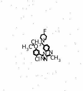 Cc1nc2ccc(CN3CCC(F)CC3)cc2n2c(-c3cc(OC(C)C)ccc3Cl)nnc12